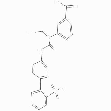 N=C(N)c1cccc(N(CC(=O)O)C(=O)Nc2ccc(-c3ccccc3S(N)(=O)=O)cc2)c1